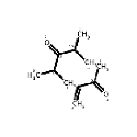 C=CC(C)=O.CC(C)C(=O)C(C)C